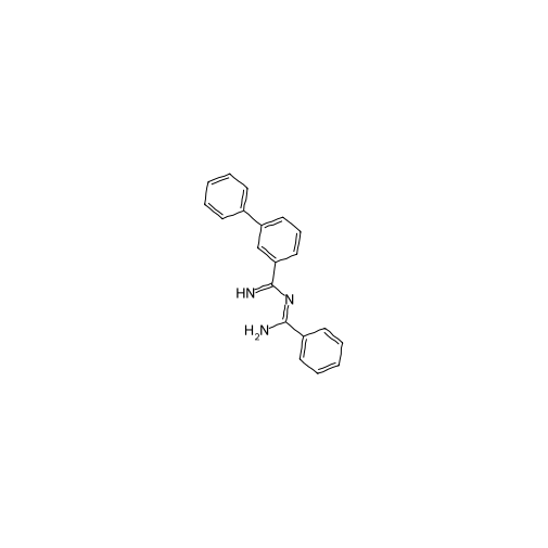 N=C(/N=C(\N)c1ccccc1)c1cccc(-c2ccccc2)c1